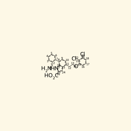 NCc1ccccc1-c1ccc(CCOc2cccc(Cl)c2Cl)c2cc(C(=O)O)[nH]c12